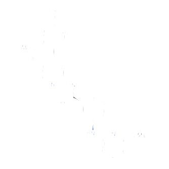 COc1cccc(N[C@@H]2CCC[C@H](C(=O)Nc3cc(-c4ccc(F)cc4OC)c(F)cn3)C2)n1